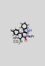 CCCC(C(=O)O)c1c(-c2ccc(C)cc2)c2c3c([nH]c2n(CCC)c1=O)CCCC3